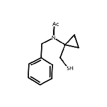 CC(=O)N(Cc1ccccc1)C1(CS)CC1